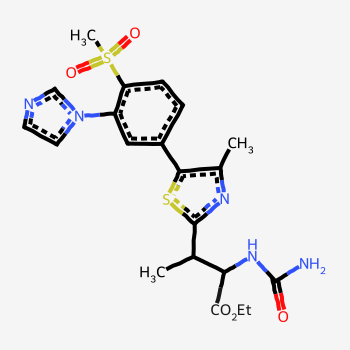 CCOC(=O)C(NC(N)=O)C(C)c1nc(C)c(-c2ccc(S(C)(=O)=O)c(-n3ccnc3)c2)s1